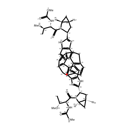 COC(=O)N[C@H](C(=O)N1[C@@H]2C[C@@H]2C[C@H]1c1nc2cc(-c3cc4ccc3CCc3ccc(c(-c5ccc6[nH]c([C@@H]7C[C@H]8C[C@H]8N7C(=O)[C@@H](NC(=O)OC)[C@@H](C)OC)nc6c5)c3)CC4)ccc2[nH]1)[C@@H](C)OC